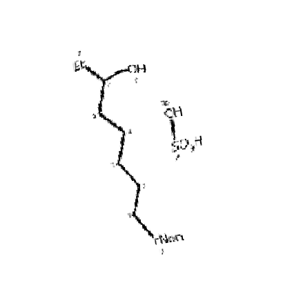 CCCCCCCCCCCCCCC(O)CC.O=S(=O)(O)O